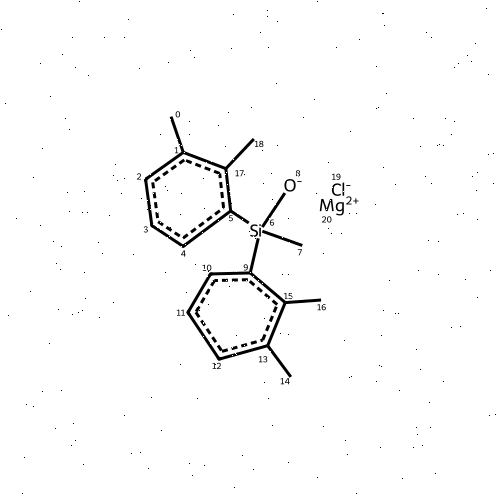 Cc1cccc([Si](C)([O-])c2cccc(C)c2C)c1C.[Cl-].[Mg+2]